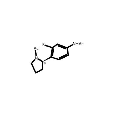 CC(=O)Nc1ccc([C@H]2CCCN2C(C)=O)c(F)c1